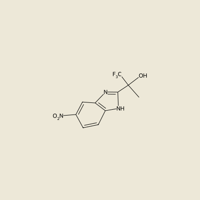 CC(O)(c1nc2cc([N+](=O)[O-])ccc2[nH]1)C(F)(F)F